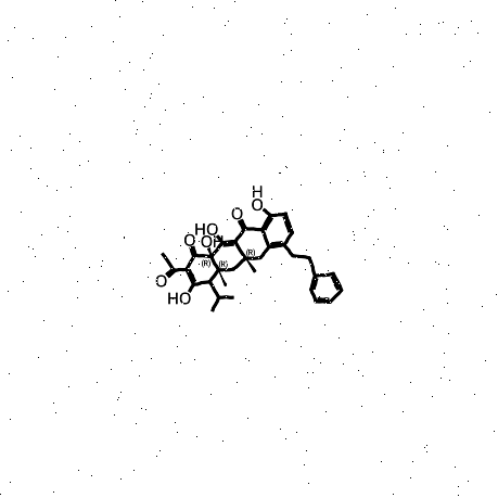 CC(=O)C1=C(O)C(C(C)C)[C@@]2(C)C[C@@]3(C)Cc4c(CCc5ccccc5)ccc(O)c4C(=O)C3=C(O)[C@@]2(O)C1=O